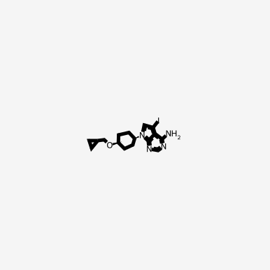 Nc1ncnc2c1c(I)cn2[C@H]1CC[C@H](OCC2CC2)CC1